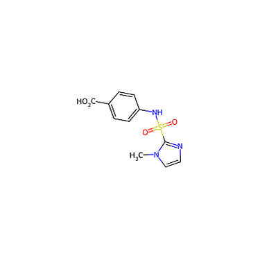 Cn1ccnc1S(=O)(=O)Nc1ccc(C(=O)O)cc1